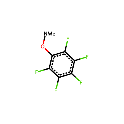 CNOc1c(F)c(F)c(F)c(F)c1F